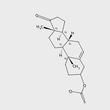 C[C@]12CCC(OC(=S)Cl)CC1=CC[C@@H]1[C@@H]2CC[C@]2(C)C(=O)CC[C@@H]12